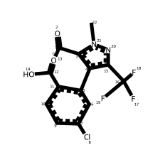 CC(=O)c1c(-c2cc(Cl)ccc2C(=O)O)c(C(F)(F)F)nn1C